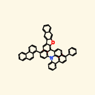 c1ccc(-c2ccc(-c3ccccc3N(c3ccc(-c4cccc5c4ccc4ccccc45)cc3)c3ccccc3-c3cccc4c3oc3cc5ccccc5cc34)cc2)cc1